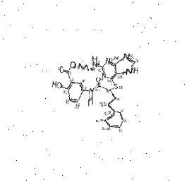 COC(=O)c1cc(NC(=O)[C@H](CCc2ccccc2)Sc2nc(N)nc3nc[nH]c23)ccc1O